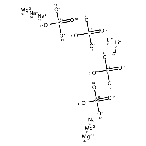 O=P([O-])([O-])[O-].O=P([O-])([O-])[O-].O=P([O-])([O-])[O-].O=P([O-])([O-])[O-].[Li+].[Li+].[Li+].[Mg+2].[Mg+2].[Mg+2].[Na+].[Na+].[Na+]